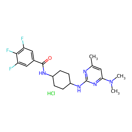 Cc1cc(N(C)C)nc(NC2CCC(NC(=O)c3cc(F)c(F)c(F)c3)CC2)n1.Cl